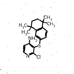 CC1(C)CCC(C)(C)c2cc(Sc3c(N)ccnc3Cl)ccc21